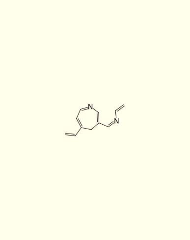 C=C/N=C\C1=CN=CC=C(C=C)C1